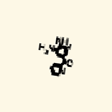 Nc1ccc(C(=O)c2ccccn2)cc1N